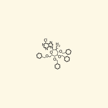 C=C1[C@H](n2cnc3c(Cl)ncnc32)O[C@H](COCc2ccccc2)[C@@H](OCc2ccccc2)[C@H](OCc2ccccc2)[C@H]1OCc1ccccc1